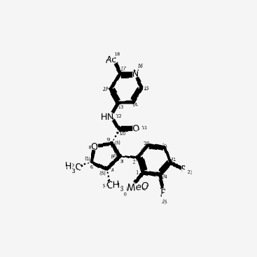 COc1c([C@H]2[C@H](C)[C@H](C)O[C@@H]2C(=O)Nc2ccnc(C(C)=O)c2)ccc(F)c1F